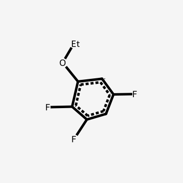 CCOc1[c]c(F)cc(F)c1F